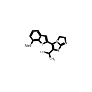 CSc1cccc2cc(C3=C(C(C)O)SC4=NCCN43)sc12